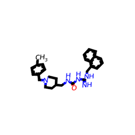 Cc1ccc(CN2CCC(CNC(=O)NC(=N)NCc3cccc4ccccc34)CC2)cc1